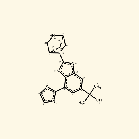 CC(C)(O)c1cc(-c2nccs2)c2oc(N3CC4CCCC3CN4)nc2c1